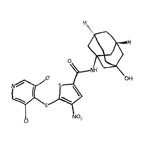 O=C(NC12C[C@@H]3C[C@@H](CC(O)(C3)C1)C2)c1cc([N+](=O)[O-])c(Sc2c(Cl)cncc2Cl)s1